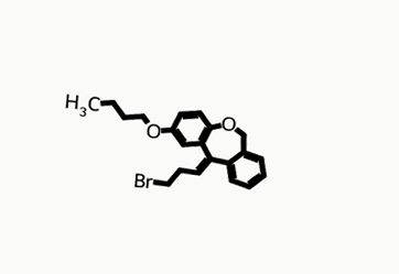 CCCCOc1ccc2c(c1)C(=CCCBr)c1ccccc1CO2